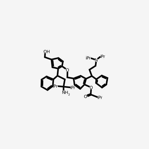 CC(C)C(=O)Oc1ccc(COc2ccc(CO)cc2C(CC(N)(C(C)C)C(C)C)c2ccccc2)cc1C(CCN(C(C)C)C(C)C)c1ccccc1